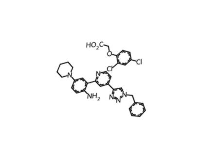 Nc1ccc(N2CCCCC2)cc1-c1cc(-c2cn(Cc3ccccc3)nn2)ccn1.O=C(O)COc1ccc(Cl)cc1Cl